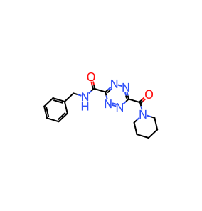 O=C(NCc1ccccc1)c1nnc(C(=O)N2CCCCC2)nn1